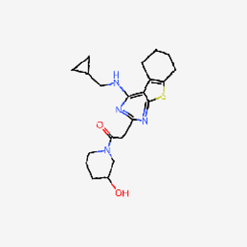 O=C(Cc1nc(NCC2CC2)c2c3c(sc2n1)CCCC3)N1CCCC(O)C1